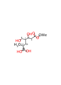 COOC(=O)CC(O)C(CO)CC(C)B(O)O